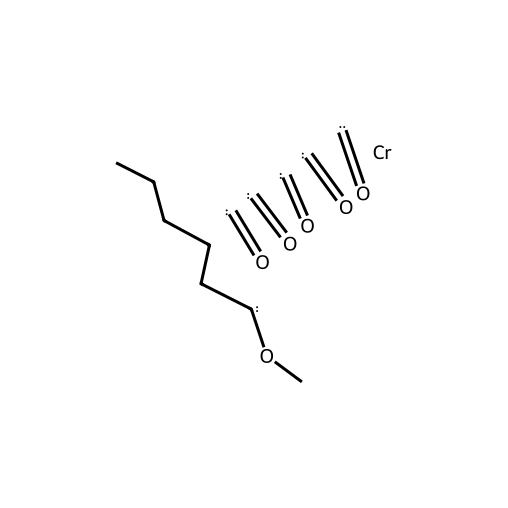 CCCCC[C]OC.[C]=O.[C]=O.[C]=O.[C]=O.[C]=O.[Cr]